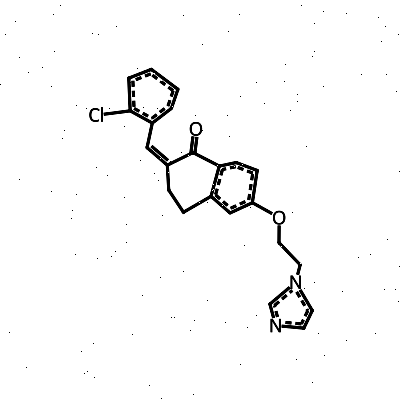 O=C1C(=Cc2ccccc2Cl)CCc2cc(OCCn3ccnc3)ccc21